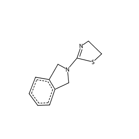 c1ccc2c(c1)CN(C1=NCCS1)C2